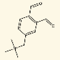 C[N+](C)(C)Cc1ccc(C=O)c(C=O)c1